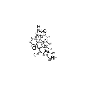 O=C1NCN(c2ccccc2)C12CCN(CCCC1(c3ccc(Cl)c(Cl)c3)CCNC1)CC2